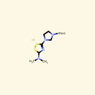 CCCCCN1CCN(C2=NC(N(C)C)SS2)C1.F